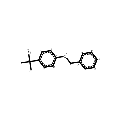 CCC(C)(C)c1ccc(OCc2ccccc2)cc1